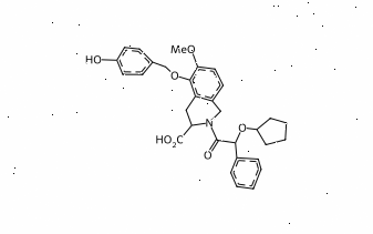 COc1ccc2c(c1OCc1ccc(O)cc1)CC(C(=O)O)N(C(=O)C(OC1CCCC1)c1ccccc1)C2